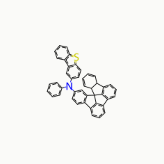 C1=CC2c3cccc4c3C3(c5cc(N(c6ccccc6)c6ccc7sc8ccccc8c7c6)ccc5-c5cccc-4c53)C2C=C1